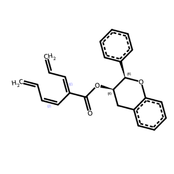 C=C/C=C\C(=C/C=C)C(=O)O[C@@H]1Cc2ccccc2O[C@@H]1c1ccccc1